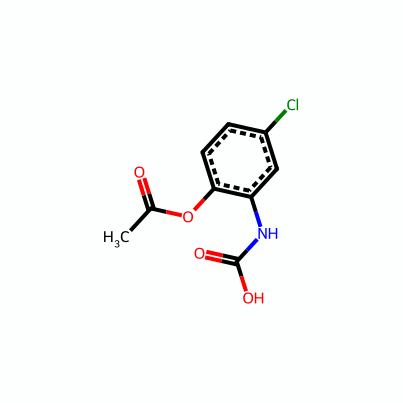 CC(=O)Oc1ccc(Cl)cc1NC(=O)O